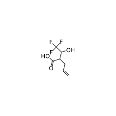 C=CCC(C(=O)O)C(O)C(F)(F)F